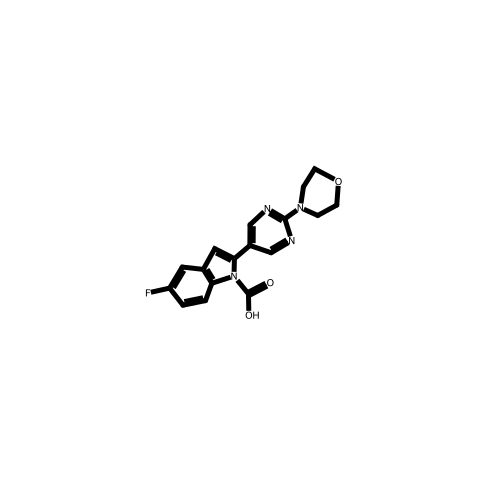 O=C(O)n1c(-c2cnc(N3CCOCC3)nc2)cc2cc(F)ccc21